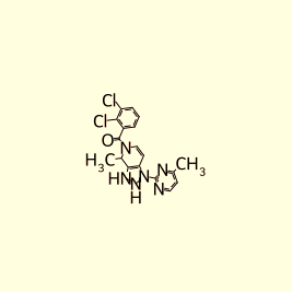 Cc1ccnc(N2NNC3=C2C=CN(C(=O)c2cccc(Cl)c2Cl)C3C)n1